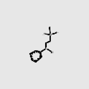 CCN(CC[N+](C)(CC)CC)c1ccccc1